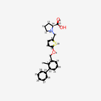 Cc1c(COc2ccc(CN3CCC[C@H]3C(=O)O)s2)cccc1-c1ccccc1